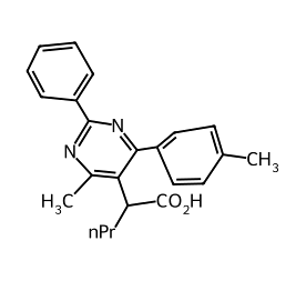 CCCC(C(=O)O)c1c(C)nc(-c2ccccc2)nc1-c1ccc(C)cc1